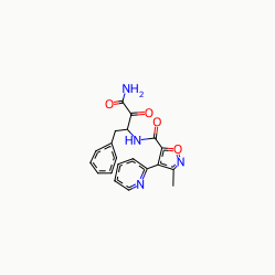 Cc1noc(C(=O)NC(Cc2ccccc2)C(=O)C(N)=O)c1-c1ccccn1